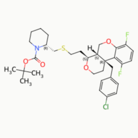 CC(C)(C)OC(=O)N1CCCC[C@@H]1CSCC[C@@H]1OCC[C@@]2(Cc3ccc(Cl)cc3)c3c(F)ccc(F)c3OC[C@@H]12